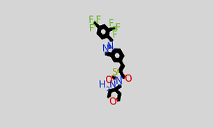 NC1(CN2C(=O)SC(=Cc3ccc4c(cnn4Cc4ccc(C(F)(F)F)cc4C(F)(F)F)c3)C2=O)CCOCC1